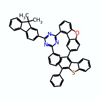 CC1(C)c2ccccc2-c2ccc(-c3nc(-c4ccccc4)nc(-c4cccc5oc6ccc(-c7ccc(-c8ccccc8)c8sc9ccccc9c78)cc6c45)n3)cc21